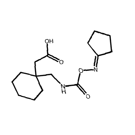 O=C(O)CC1(CNC(=O)ON=C2CCCC2)CCCCC1